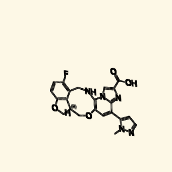 Cn1nccc1-c1cc2c(n3cc(C(=O)O)nc13)NCc1c(F)ccc3c1[C@H](CO3)CO2